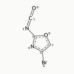 O=C=Nc1nc(Br)co1